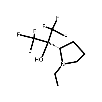 CCN1CCC[C@H]1C(O)(C(F)(F)F)C(F)(F)F